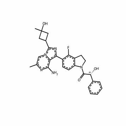 Cc1cn2c(C3CC(C)(O)C3)nc(-c3ccc4c(c3F)CCN4C(=O)[C@H](O)c3ccccc3)c2c(N)n1